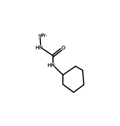 CC[CH]NC(=O)NC1CCCCC1